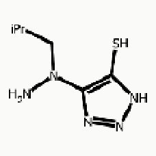 CC(C)CN(N)c1nn[nH]c1S